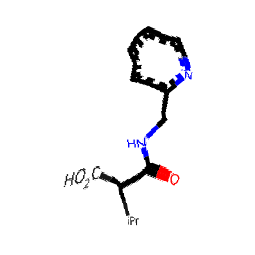 CC(C)C(C(=O)O)C(=O)NCc1ccccn1